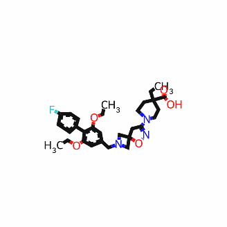 CCOc1cc(CN2CC3(CC(N4CCC(CC)(C(=O)O)CC4)=NO3)C2)cc(OCC)c1-c1ccc(F)cc1